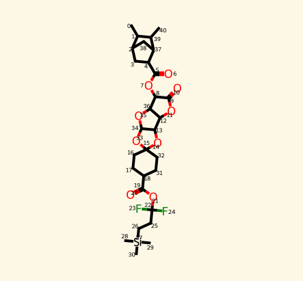 CC1C2CC(C(=O)OC3C(=O)OC4C5OC6(CCC(C(=O)OC(F)(F)CC[Si](C)(C)C)CC6)OC5OC34)C(C2)C1C